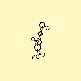 O=C(O)N1CCN2C(=O)N(C34CC(N5CCCC5=O)(C3)C4)CC2C1